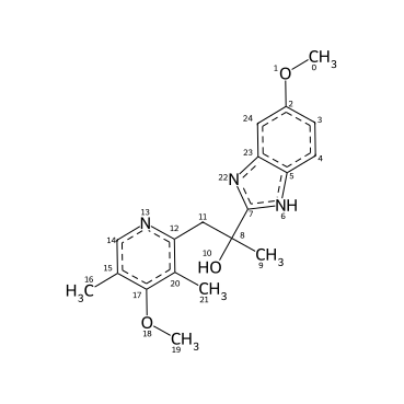 COc1ccc2[nH]c(C(C)(O)Cc3ncc(C)c(OC)c3C)nc2c1